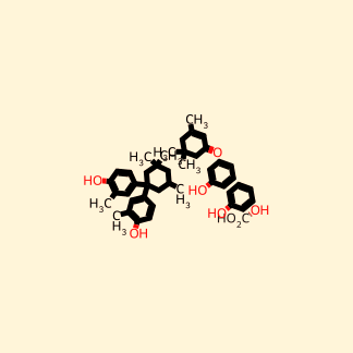 CC1=CC(=O)CC(C)(C)C1.Cc1cc(C2(c3ccc(O)c(C)c3)CC(C)CC(C)(C)C2)ccc1O.O=C(O)O.Oc1ccccc1.Oc1ccccc1